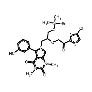 Cn1c(=O)c2c(-c3cccc(C#N)c3)n(CC(CO[Si](C)(C)C(C)(C)C)OCC(=O)c3nc(Cl)cs3)cc2n(C)c1=O